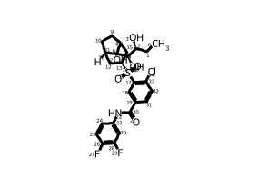 CC[C@H](O)[C@@H](O)[C@@]1(O)C2CC[C@H]1C[C@H](S(=O)(=O)c1cc(C(=O)Nc3ccc(F)c(F)c3)ccc1Cl)C2